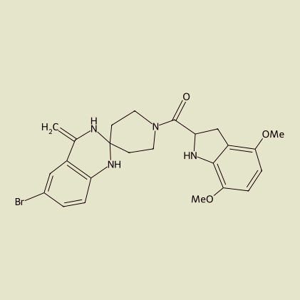 C=C1NC2(CCN(C(=O)C3Cc4c(OC)ccc(OC)c4N3)CC2)Nc2ccc(Br)cc21